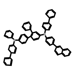 C1=CC(c2ccccc2)CC=C1N(c1ccccc1)c1ccc(-c2ccc(N(c3ccc(-c4ccccc4)cc3)c3ccc(-c4ccc5ccccc5c4)cc3)cc2-c2ccccc2)cc1